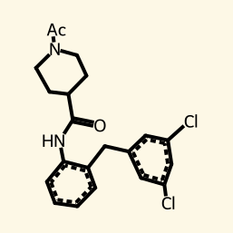 CC(=O)N1CCC(C(=O)Nc2ccccc2Cc2cc(Cl)cc(Cl)c2)CC1